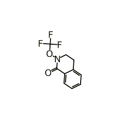 O=C1c2ccccc2CCN1OC(F)(F)F